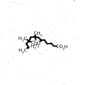 C=CCC(C)(C)CC(C)(C)CC(=O)CCCCC(=O)O